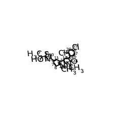 CC(O)c1nc(-c2ccc3c(c2)c2cc(-c4ccc(Cl)cc4Cl)c(=O)n(C)c2n3C)cs1